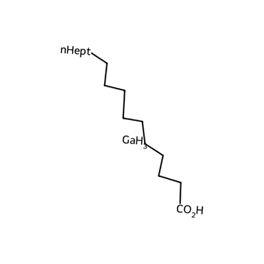 CCCCCCCCCCCCCCCCC(=O)O.[GaH3]